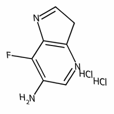 Cl.Cl.Nc1cnc2c(c1F)N=CC2